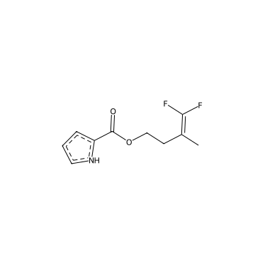 CC(CCOC(=O)c1ccc[nH]1)=C(F)F